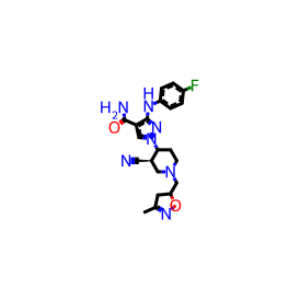 CC1=NOC(CN2CCC(n3cc(C(N)=O)c(Nc4ccc(F)cc4)n3)[C@H](C#N)C2)C1